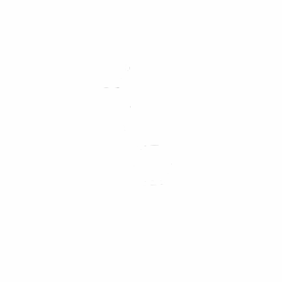 CCc1ccc(SOC(=O)I)cc1